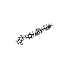 O=C(OCc1ccc(C(F)(F)C(F)(F)C(F)(F)C(F)(F)C(F)(F)C(F)(F)C(F)(F)C(F)(F)C(F)(F)C(F)(F)F)cc1)ON1C(=O)CCC1=O